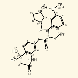 CC(C)CN(C(=O)Cc1ccc2c(c1)NC(=O)CS2(O)O)[C@H](CN1CCC(O)C1)c1cccc(OC(F)(F)F)c1